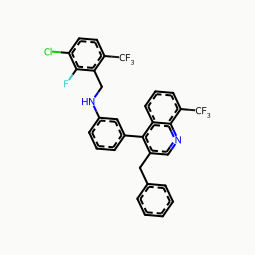 Fc1c(Cl)ccc(C(F)(F)F)c1CNc1cccc(-c2c(Cc3ccccc3)cnc3c(C(F)(F)F)cccc23)c1